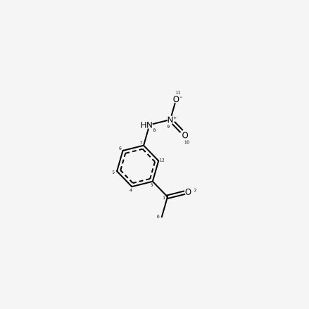 CC(=O)c1cccc(N[N+](=O)[O-])c1